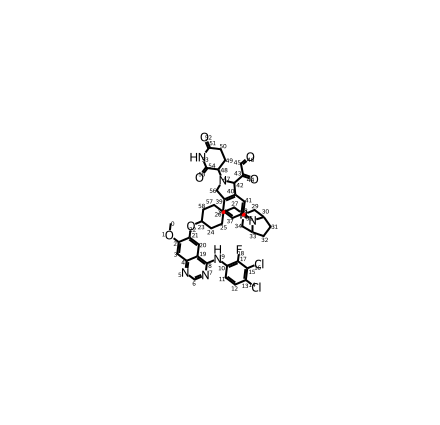 COc1cc2ncnc(Nc3ccc(Cl)c(Cl)c3F)c2cc1OC1CCC(CN2CC3CCC(C2)N3c2ccc3c(c2)C(C(=O)C=O)N(C2CCC(=O)NC2=O)C3)CC1